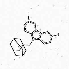 Ic1ccc2c(c1)c1cc(I)ccc1n2CC12CC3CC(CC(C3)C1)C2